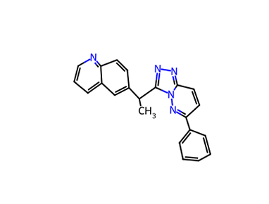 CC(c1ccc2ncccc2c1)c1nnc2ccc(-c3ccccc3)nn12